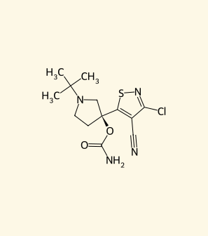 CC(C)(C)N1CC[C@@](OC(N)=O)(c2snc(Cl)c2C#N)C1